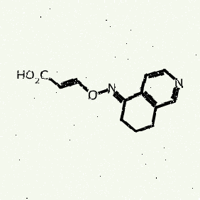 O=C(O)/C=C/O/N=C1\CCCc2cnccc21